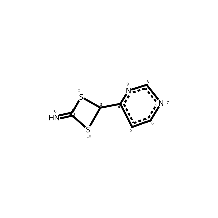 N=C1SC(c2ccncn2)S1